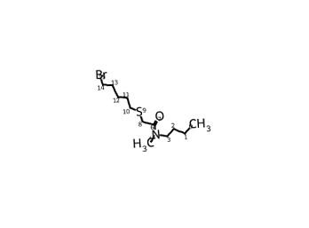 CCCCN(C)C(=O)CSCCCCCBr